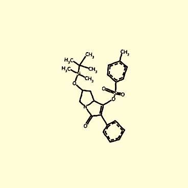 Cc1ccc(S(=O)(=O)OC2=C(c3ccccc3)C(=O)N3CC(O[Si](C)(C)C(C)(C)C)CC23)cc1